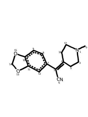 CN1CCC(=C(C#N)c2ccc3c(c2)OCO3)CC1